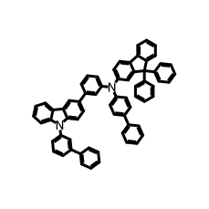 c1ccc(-c2ccc(N(c3cccc(-c4ccc5c(c4)c4ccccc4n5-c4cccc(-c5ccccc5)c4)c3)c3ccc4c(c3)C(c3ccccc3)(c3ccccc3)c3ccccc3-4)cc2)cc1